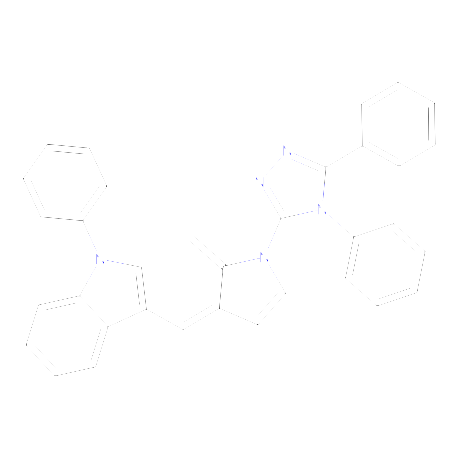 C=c1/c(=C\c2cn(-c3ccccc3)c3ccccc23)ccn1-c1nnc(-c2ccccc2)n1-c1ccccc1